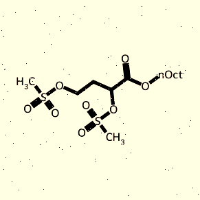 CCCCCCCCOC(=O)C(CCOS(C)(=O)=O)OS(C)(=O)=O